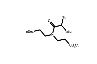 CCCCCCCCCCCCN(CCC(=O)OCC)C(=O)C(CC)CCCC